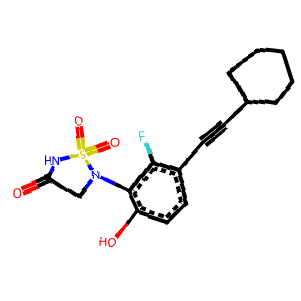 O=C1CN(c2c(O)ccc(C#CC3CCCCC3)c2F)S(=O)(=O)N1